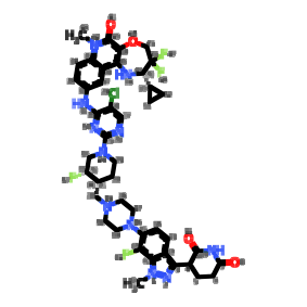 Cn1nc(C2CCC(=O)NC2=O)c2ccc(N3CCN(C[C@H]4CCN(c5ncc(Cl)c(Nc6ccc7c(c6)c6c(c(=O)n7C)OCC(F)(F)[C@H](C7CC7)N6)n5)C[C@H]4F)CC3)c(F)c21